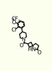 O=C1CCC2(CC(C(=O)N3CCC(c4cccc(OC(F)(F)F)c4Cl)CC3)C2)N1